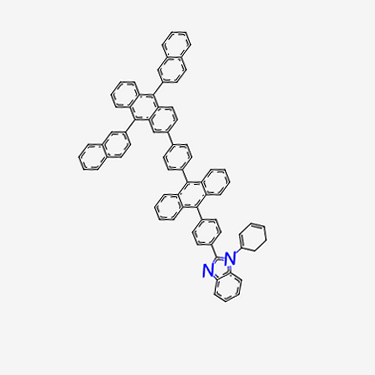 C1=CCCC(n2c(-c3ccc(-c4c5ccccc5c(-c5ccc(-c6ccc7c(-c8ccc9ccccc9c8)c8ccccc8c(-c8ccc9ccccc9c8)c7c6)cc5)c5ccccc45)cc3)nc3ccccc32)=C1